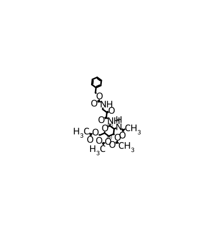 CC(=O)NC1C(OC(C)=O)[C@H](OC(C)=O)C(COC(C)=O)O[C@H]1NC(=O)C(=O)CNC(=O)OCc1ccccc1